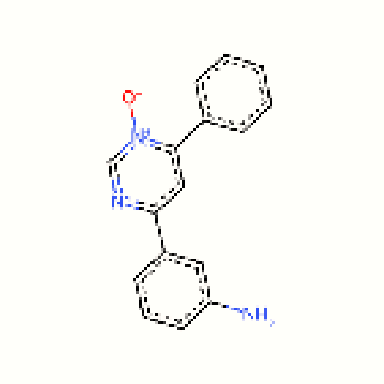 Nc1cccc(-c2cc(-c3ccccc3)[n+]([O-])cn2)c1